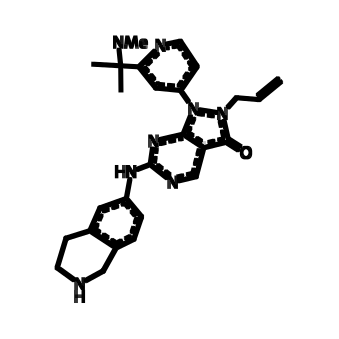 C=CCn1c(=O)c2cnc(Nc3ccc4c(c3)CCNC4)nc2n1-c1ccnc(C(C)(C)NC)c1